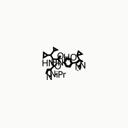 CC(C)n1nccc1C(=O)NC(C(=O)Nc1ccc(-c2c(C3(O)CC3)cnn2C)cc1)C(C1CC1)C1CC1